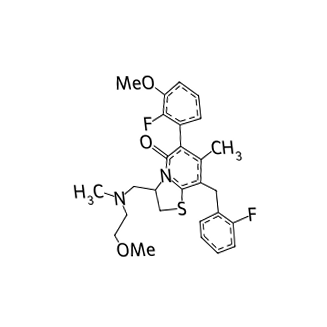 COCCN(C)CC1CSc2c(Cc3ccccc3F)c(C)c(-c3cccc(OC)c3F)c(=O)n21